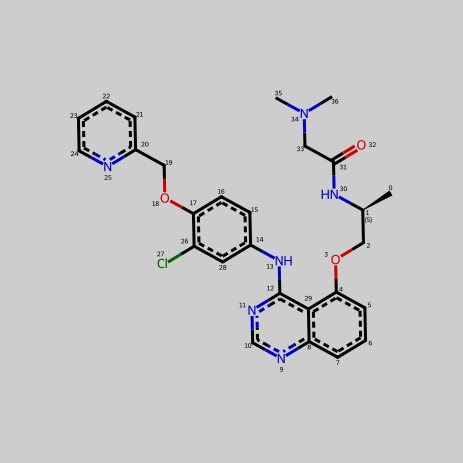 C[C@@H](COc1cccc2ncnc(Nc3ccc(OCc4ccccn4)c(Cl)c3)c12)NC(=O)CN(C)C